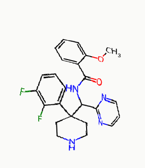 COc1ccccc1C(=O)NC(c1ncccn1)C1(c2cccc(F)c2F)CCNCC1